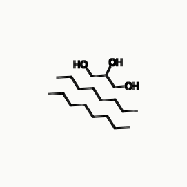 CCCCCCCC.CCCCCCCC.OCC(O)CO